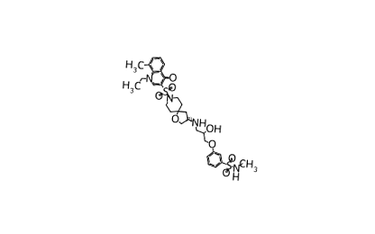 CCn1cc(S(=O)(=O)N2CCC3(CC2)C[C@@H](NCC(O)COc2cccc(S(=O)(=O)NC)c2)CO3)c(=O)c2cccc(C)c21